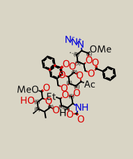 CCC1O[C@@H](O[C@H]2C(C(C)=O)O[C@@H](O[C@@H]3C(COC(=O)c4ccccc4)O[C@H](OC)C(N=[N+]=[N-])[C@H]3C)C(OC(=O)c3ccccc3)[C@@H]2OCc2ccccc2)C2NC(=O)O[C@H]2[C@@H]1O[C@@H]1OC(C(=O)OC)[C@@H](O)[C@H](C)C1C